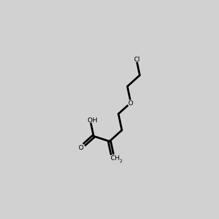 C=C(CCOCCCl)C(=O)O